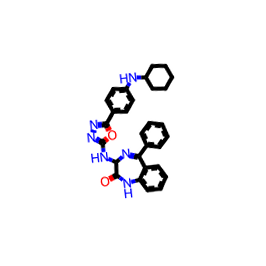 O=C1Nc2ccccc2C(c2ccccc2)=NC1Nc1nnc(-c2ccc(NC3CCCCC3)cc2)o1